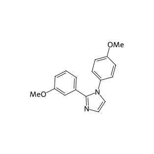 COc1ccc(-n2ccnc2-c2cccc(OC)c2)cc1